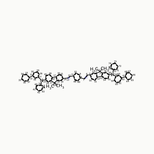 CC1(C)c2cc(/C=C/c3ccc(/C=C/c4ccc5c(c4)C(C)(C)c4cc(N(c6cccc(-c7ccccc7)c6)c6ccccn6)ccc4-5)cc3)ccc2-c2ccc(N(c3cccc(-c4ccccc4)c3)c3ccccn3)cc21